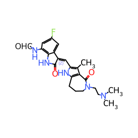 Cc1c(/C=C2\C(=O)Nc3c(NC=O)cc(F)cc32)[nH]c2c1C(=O)N(CCN(C)C)CCC2